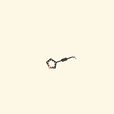 [SiH3]C#Cc1ccsc1